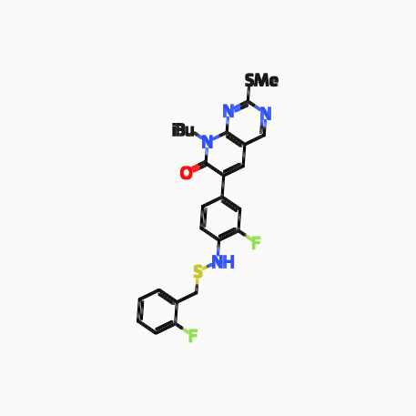 CCC(C)n1c(=O)c(-c2ccc(NSCc3ccccc3F)c(F)c2)cc2cnc(SC)nc21